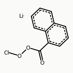 O=C(OOCl)c1cccc2ccccc12.[Li]